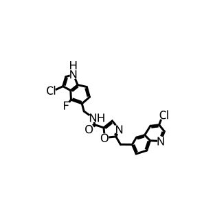 O=C(NCc1ccc2[nH]cc(Cl)c2c1F)c1cnc(Cc2ccc3ncc(Cl)cc3c2)o1